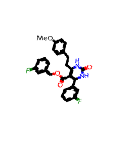 COc1ccc(CCC2=C(C(=O)OCc3cccc(F)c3)C(c3cccc(F)c3)NC(=O)N2)cc1